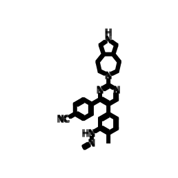 C=NNc1cc(-c2cnc(N3CCC4CNCC4CC3)nc2-c2ccc(C#N)cc2)ccc1C